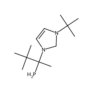 CC(C)(C)N1C=CN(C(C)(P)C(C)(C)C)C1